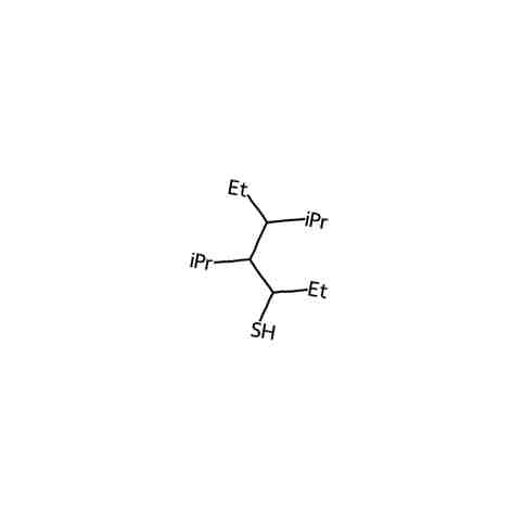 CCC(S)C(C(C)C)C(CC)C(C)C